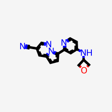 N#Cc1cnn2c(-c3cc(NC4COC4)ccn3)ccc2c1